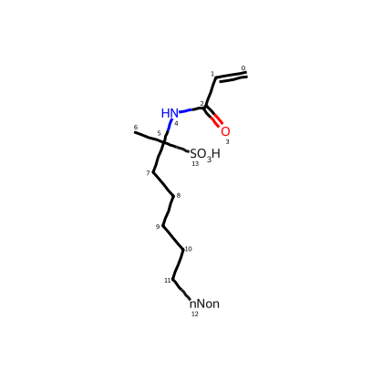 C=CC(=O)NC(C)(CCCCCCCCCCCCCC)S(=O)(=O)O